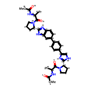 COC(=O)NC(C(=O)N1CCC[C@H]1c1nc(-c2ccc(-c3ccc4nc([C@@H]5CCCN5C(=O)C(NC(=O)OC)C(C)C)[nH]c4c3)cc2)c[nH]1)C(C)C